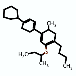 CCCCC1=C(SC(C)CC)C=C(C2=CC=C(C3CCCCC3)CC2)C(C)C1